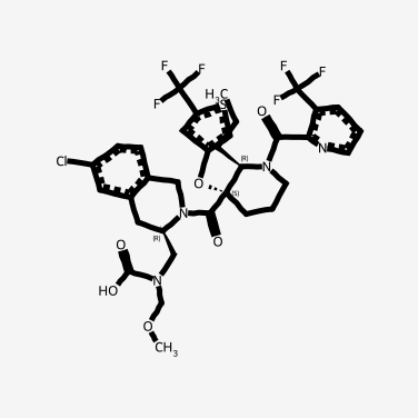 CCC[C@H]1N(C(=O)c2ncccc2C(F)(F)F)CCC[C@@]1(Oc1csc(C(F)(F)F)c1)C(=O)N1Cc2ccc(Cl)cc2C[C@@H]1CN(COC)C(=O)O